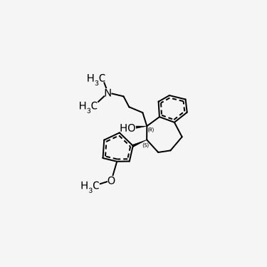 COc1cccc([C@@H]2CCCc3ccccc3[C@@]2(O)CCCN(C)C)c1